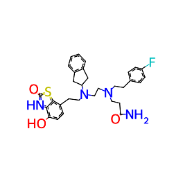 NC(=O)CCN(CCc1ccc(F)cc1)CCN(CCc1ccc(O)c2[nH]c(=O)sc12)C1Cc2ccccc2C1